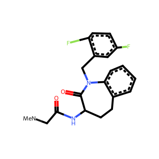 CNCC(=O)NC1CCc2ccccc2N(Cc2cc(F)ccc2F)C1=O